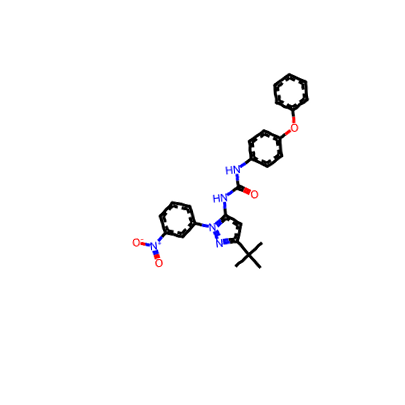 CC(C)(C)c1cc(NC(=O)Nc2ccc(Oc3ccccc3)cc2)n(-c2cccc([N+](=O)[O-])c2)n1